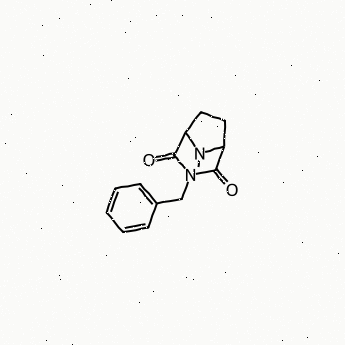 CN1C2CCC1C(=O)N(Cc1ccccc1)C2=O